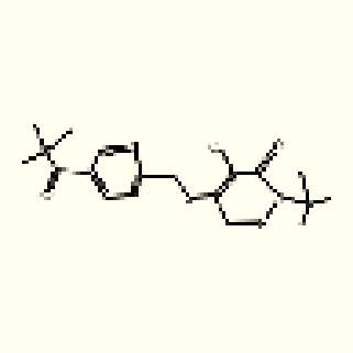 CC(C)(C)C(=O)c1ccc(CSc2cnn(C(C)(C)C)c(=O)c2Cl)cc1